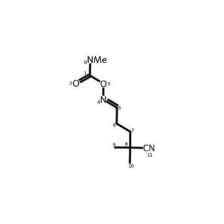 CNC(=O)ON=CCCC(C)(C)C#N